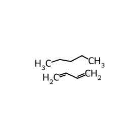 C=CC=C.CCCCC